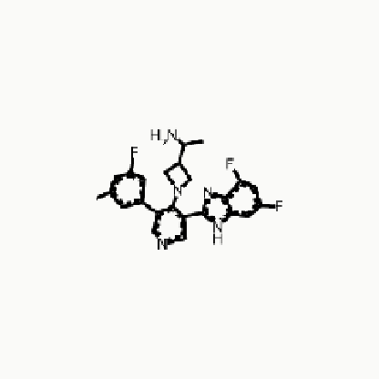 Cc1cc(F)cc(-c2cncc(-c3nc4c(F)cc(F)cc4[nH]3)c2N2CC(C(C)N)C2)c1